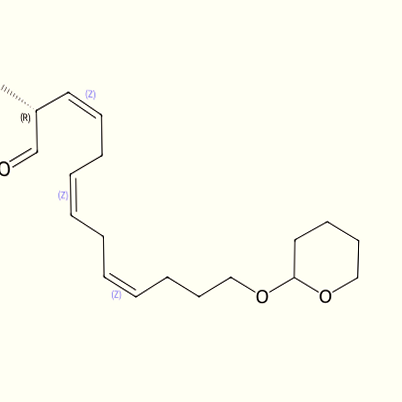 C[C@@H](C=O)/C=C\C/C=C\C/C=C\CCCOC1CCCCO1